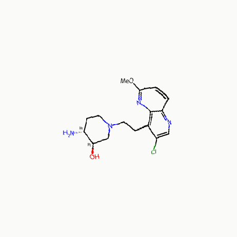 COc1ccc2ncc(Cl)c(CCN3CC[C@@H](N)[C@H](O)C3)c2n1